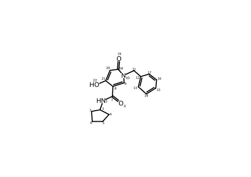 O=C(NC1CCCC1)c1cn(Cc2ccccc2)c(=O)cc1O